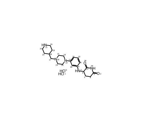 Cl.Cl.O=C1CCC(Nc2cccc(N3CCN(CC4CCNCC4)CC3)c2)C(=O)N1